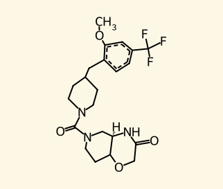 COc1cc(C(F)(F)F)ccc1CC1CCN(C(=O)N2CCC3OCC(=O)N[C@@H]3C2)CC1